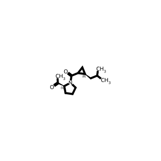 CC(=O)[C@@H]1CCCN1C(=O)C1C[C@H]1CC(C)C